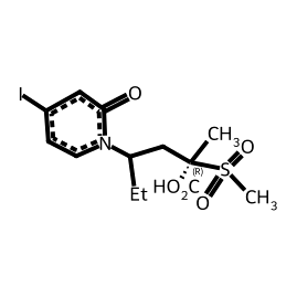 CCC(C[C@](C)(C(=O)O)S(C)(=O)=O)n1ccc(I)cc1=O